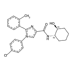 Cc1ccccc1-c1nc(C(=O)N[C@H]2CCCC[C@@H]2O)cn1-c1ccc(Cl)cc1